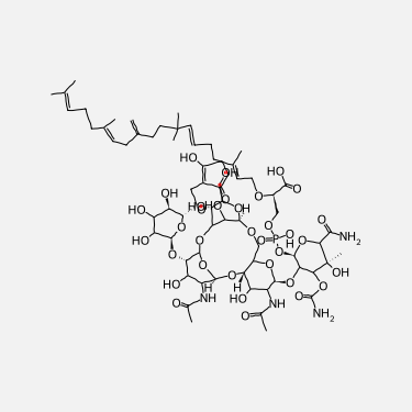 C=C(C/C=C(\C)CCC=C(C)C)CCC(C)(C)/C=C/CC/C(C)=C/CO[C@H](COP(=O)(O)O[C@H]1OC(C(N)=O)[C@@](C)(O)C(OC(N)=O)C1O[C@@H]1OC2CO[C@@H]3OC(CO)[C@@H](O)C(OC4O[C@@H](O[C@H]2C(O)C1NC(C)=O)C(NC(C)=O)C(O)[C@@H]4O[C@@H]1O[C@@H](C(=O)CC2=C(O)CCC2=O)[C@H](O)C(O)C1O)C3O)C(=O)O